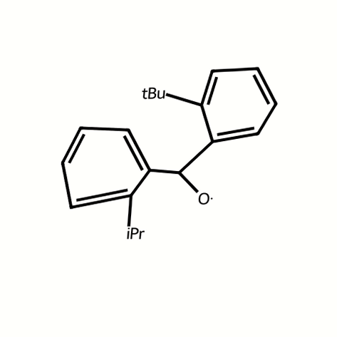 CC(C)c1ccccc1C([O])c1ccccc1C(C)(C)C